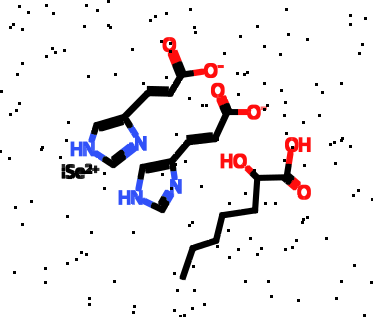 CCCCCC(O)C(=O)O.O=C([O-])C=Cc1c[nH]cn1.O=C([O-])C=Cc1c[nH]cn1.[Se+2]